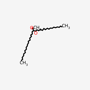 CCCCCCCCCCCCCCCCCCCCC(C(C)=O)C(=O)CCCCCCCCCCCCCCCCC